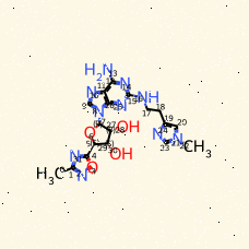 Cc1noc([C@H]2O[C@@H](n3cnc4c(N)nc(NCCc5cn(C)cn5)nc43)[C@H](O)[C@@H]2O)n1